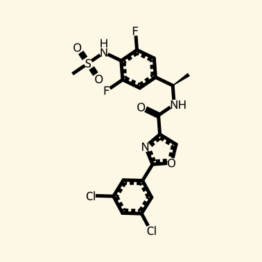 C[C@@H](NC(=O)c1coc(-c2cc(Cl)cc(Cl)c2)n1)c1cc(F)c(NS(C)(=O)=O)c(F)c1